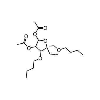 CCCCOC[C@@]1(CF)OC(OC(C)=O)C(OC(C)=O)C1OCCCC